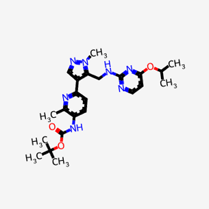 Cc1nc(-c2cnn(C)c2CNc2nccc(OC(C)C)n2)ccc1NC(=O)OC(C)(C)C